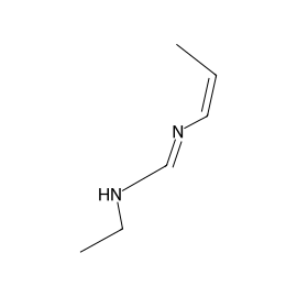 C/C=C\N=C\NCC